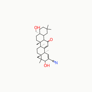 CC1(C)CC[C@]2(CO)CC[C@]3(C)C(C(=O)C=C4[C@@]5(C)C=C(C#N)C(O)C6(C)C[C@]65CC[C@]43C)C2C1